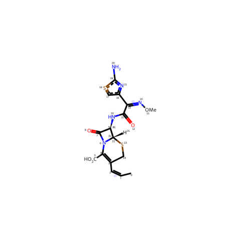 C/C=C\C1=C(C(=O)O)N2C(=O)[C@@H](NC(=O)/C(=N\OC)c3csc(N)n3)[C@@H]2SC1